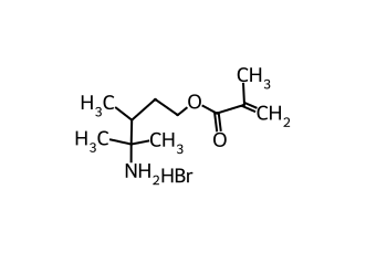 Br.C=C(C)C(=O)OCCC(C)C(C)(C)N